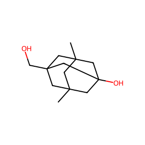 CC12CC3(C)CC(O)(C1)CC(CO)(C2)C3